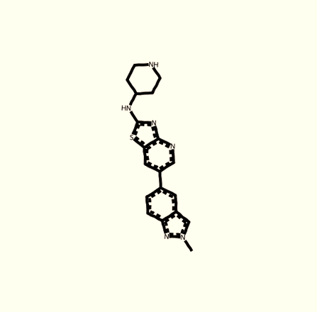 Cn1cc2cc(-c3cnc4nc(NC5CCNCC5)sc4c3)ccc2n1